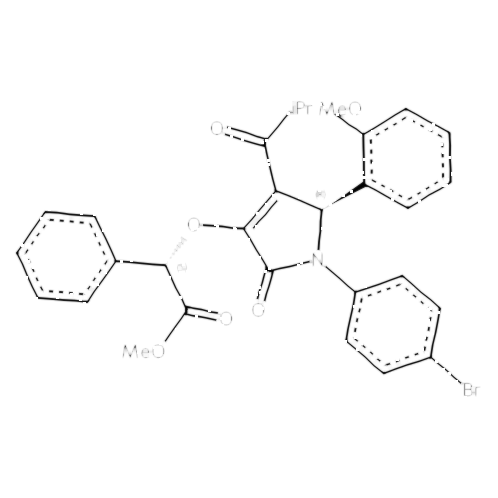 COC(=O)[C@@H](OC1=C(C(=O)C(C)C)[C@@H](c2ccccc2OC)N(c2ccc(Br)cc2)C1=O)c1ccccc1